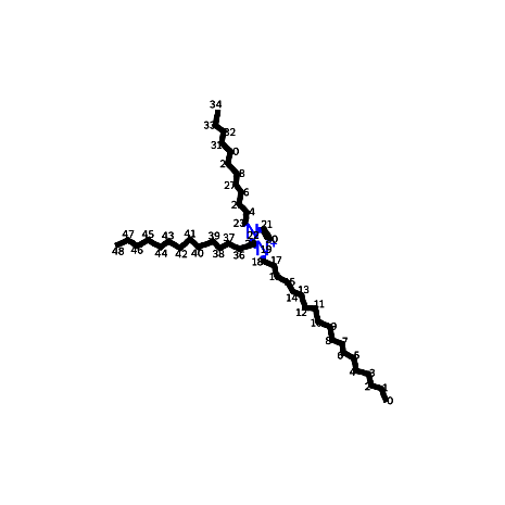 CCCCCCCCCCCCCCCCCCC[n+]1ccn(CCCCCCCCCCCC)c1CCCCCCCCCCCCC